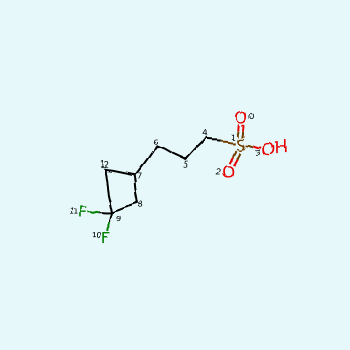 O=S(=O)(O)CCCC1CC(F)(F)C1